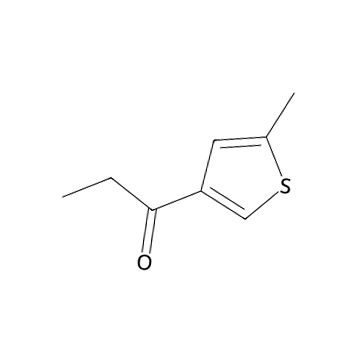 CCC(=O)c1csc(C)c1